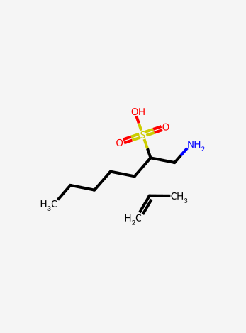 C=CC.CCCCCC(CN)S(=O)(=O)O